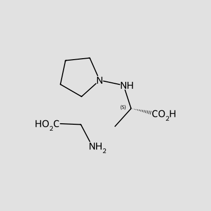 C[C@H](NN1CCCC1)C(=O)O.NCC(=O)O